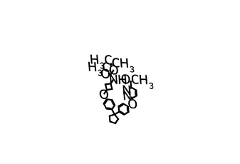 CC(=O)c1ccc(Oc2ccc(C3(c4ccc(OC5CC(NC(=O)OC(C)(C)C)C5)cc4)CCCC3)cc2)nn1